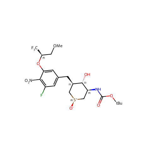 COC[C@@H](Oc1cc(C[C@@H]2C[S@+]([O-])C[C@H](NC(=O)OC(C)(C)C)[C@H]2O)cc(F)c1[N+](=O)[O-])C(F)(F)F